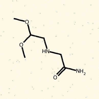 COC(CNCC(N)=O)OC